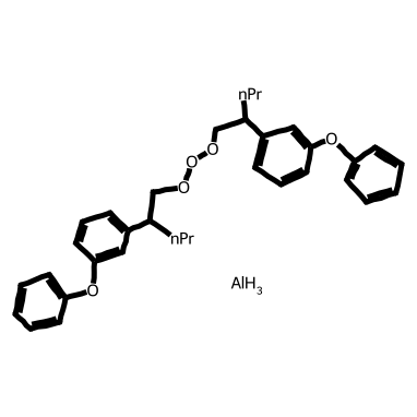 CCCC(COOOCC(CCC)c1cccc(Oc2ccccc2)c1)c1cccc(Oc2ccccc2)c1.[AlH3]